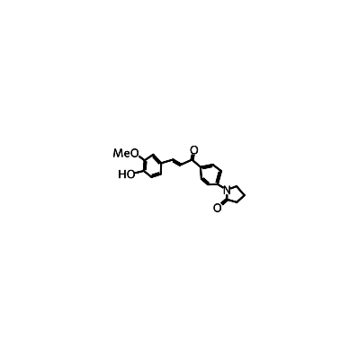 COc1cc(C=CC(=O)c2ccc(N3CCCC3=O)cc2)ccc1O